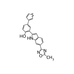 Cc1nc(-c2ccc3cc(-c4cc(-c5ccsc5)ccc4O)[nH]c3c2)no1